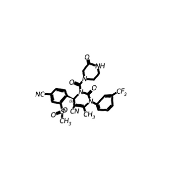 CC1=C(C#N)[C@@H](c2ccc(C#N)cc2S(C)(=O)=O)N(C(=O)N2CCNC(=O)C2)C(=O)N1c1cccc(C(F)(F)F)c1